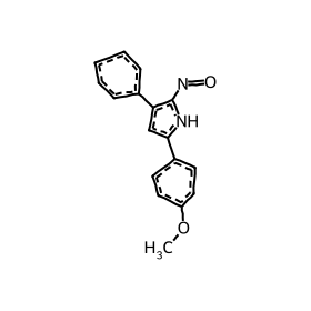 COc1ccc(-c2cc(-c3ccccc3)c(N=O)[nH]2)cc1